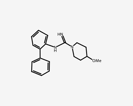 COC1CCN(C(=N)Nc2ccccc2-c2ccccc2)CC1